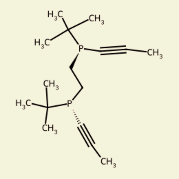 CC#C[P@@](CC[P@](C#CC)C(C)(C)C)C(C)(C)C